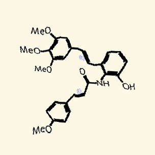 COc1ccc(/C=C/C(=O)Nc2c(O)cccc2/C=C/c2cc(OC)c(OC)c(OC)c2)cc1